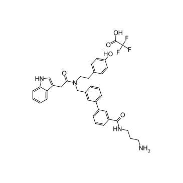 NCCCNC(=O)c1cccc(-c2cccc(CN(CCc3ccc(O)cc3)C(=O)Cc3c[nH]c4ccccc34)c2)c1.O=C(O)C(F)(F)F